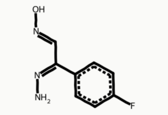 N/N=C(/C=N/O)c1ccc(F)cc1